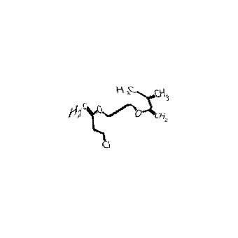 C=C(CCCl)OCCOC(=C)C(C)C